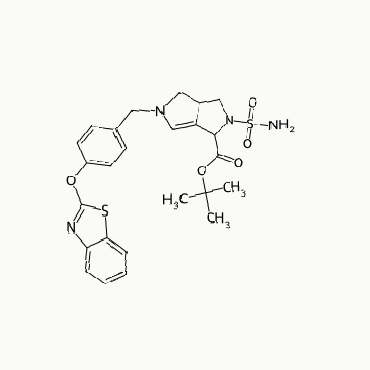 CC(C)(C)OC(=O)C1C2=CN(Cc3ccc(Oc4nc5ccccc5s4)cc3)CC2CN1S(N)(=O)=O